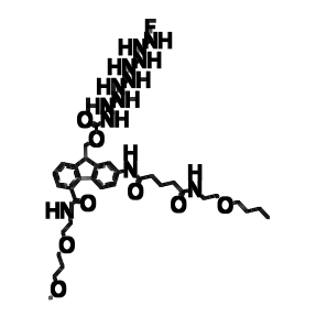 CCCCOCCNC(=O)CCCC(=O)Nc1ccc2c(c1)C(COC(=O)NNNNNNNNNF)c1cccc(C(=O)NCCOCCCOC)c1-2